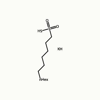 CCCCCCCCCCCCS(=O)(=O)S.[KH]